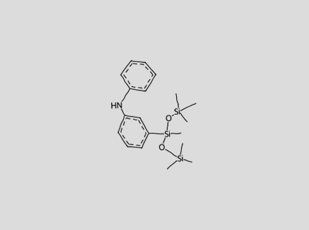 C[Si](C)(C)O[Si](C)(O[Si](C)(C)C)c1cccc(Nc2ccccc2)c1